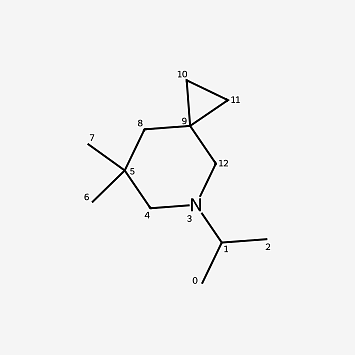 CC(C)N1CC(C)(C)CC2(CC2)C1